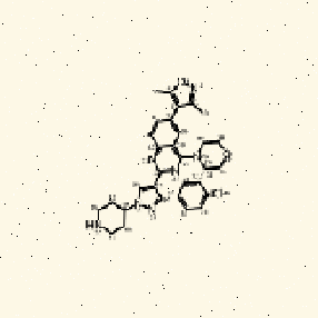 Cc1noc(C)c1-c1ccc2nc(-c3cnn(C4CCNCC4)c3)nc(N3CCOC[C@@H]3c3ccccc3)c2c1.Cl